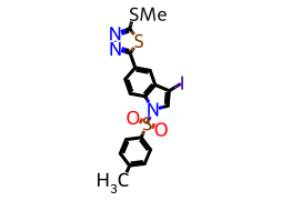 CSc1nnc(-c2ccc3c(c2)c(I)cn3S(=O)(=O)c2ccc(C)cc2)s1